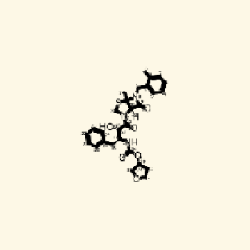 Cc1ccccc1CN1C(=O)[C@H]2N(C(=O)[C@@H](O)[C@H](Cc3ccccc3)NC(=O)O[C@H]3CCOC3)CSC21C